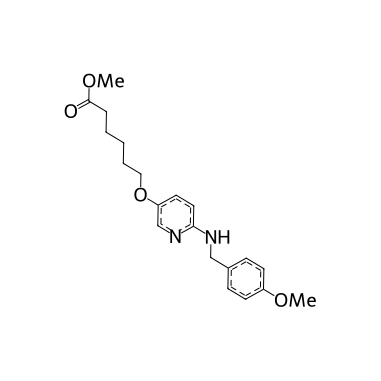 COC(=O)CCCCCOc1ccc(NCc2ccc(OC)cc2)nc1